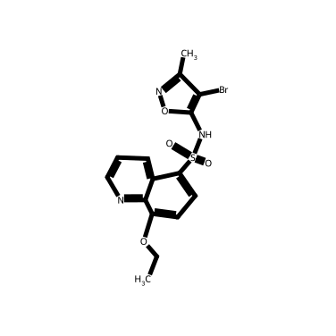 CCOc1ccc(S(=O)(=O)Nc2onc(C)c2Br)c2cccnc12